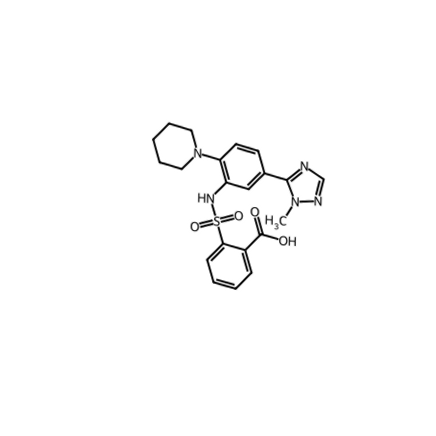 Cn1ncnc1-c1ccc(N2CCCCC2)c(NS(=O)(=O)c2ccccc2C(=O)O)c1